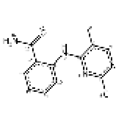 Cc1cnc(Cl)nc1Nc1ccccc1C(N)=O